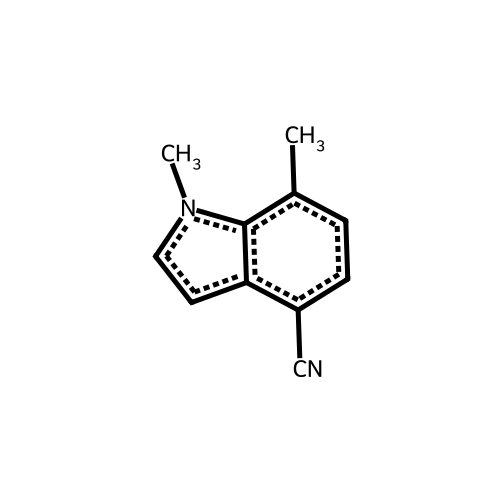 Cc1ccc(C#N)c2ccn(C)c12